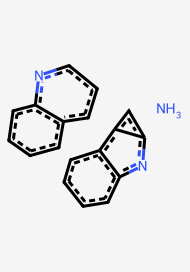 N.c1ccc2c3cc-3nc2c1.c1ccc2ncccc2c1